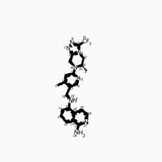 Cc1cc(N2Cc3nnc(C(F)(F)F)n3C[C@H]2C)ncc1CNc1cccc2c(N)nccc12